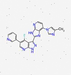 Cc1cn(-c2ccnc3[nH]c(-c4n[nH]c5ncc(-c6cccnc6)c(F)c45)nc23)cn1